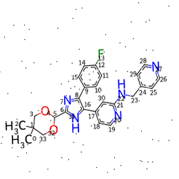 CC1(C)COC(c2nc(-c3ccc(F)cc3)c(-c3ccnc(NCc4ccncc4)c3)[nH]2)OC1